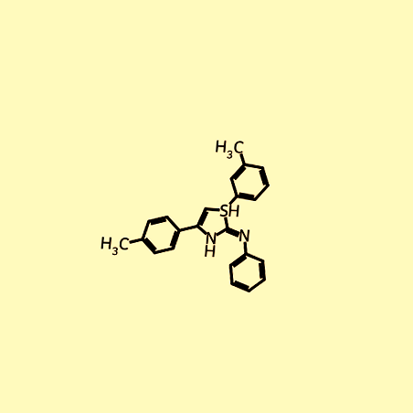 Cc1ccc(C2=C[SH](c3cccc(C)c3)C(=Nc3ccccc3)N2)cc1